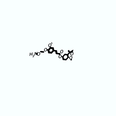 COc1cc(/C=C/C(=O)O[C@@H]2CC[C@@H](OC)C(C3(C)CO3)C2)ccc1OCCON